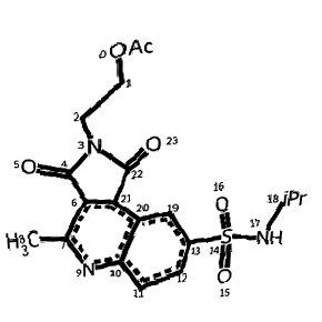 CC(=O)OCCN1C(=O)c2c(C)nc3ccc(S(=O)(=O)NC(C)C)cc3c2C1=O